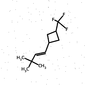 CC(C)(C)/C=C/C1CC(C(F)(F)F)C1